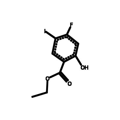 CCOC(=O)c1cc(I)c(F)cc1O